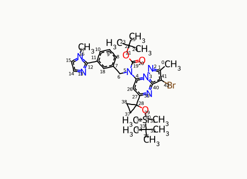 Cc1nn2c(N(Cc3cccc(-c4nccn4C)c3)C(=O)OC(C)(C)C)cc(C3(O[Si](C)(C)C(C)(C)C)CC3)nc2c1Br